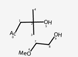 CC(=O)CC(C)(C)O.COCCO